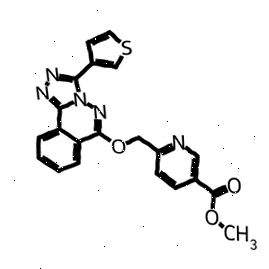 COC(=O)c1ccc(COc2nn3c(-c4ccsc4)nnc3c3ccccc23)nc1